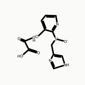 O=C(O)C(=O)O.[O-][S+](Cc1c[nH]cn1)c1ncccc1Cl